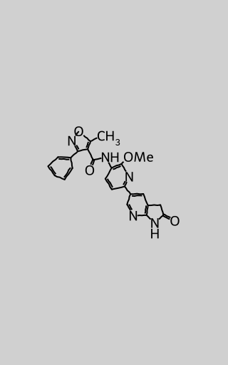 COc1nc(-c2cnc3c(c2)CC(=O)N3)ccc1NC(=O)c1c(-c2ccccc2)noc1C